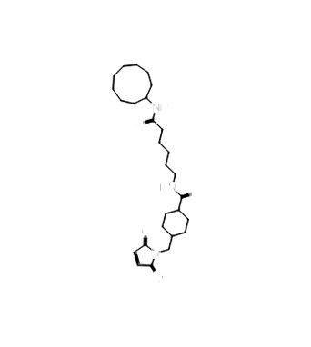 O=C(CCCCCNC(=O)C1CCC(CN2C(=O)C=CC2=O)CC1)NC1CCCCCCCC1